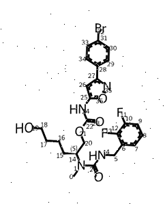 CN(C(=O)NCc1cccc(F)c1F)[C@@H](CCCCO)COC(=O)Nc1cc(-c2ccc(Br)cc2)no1